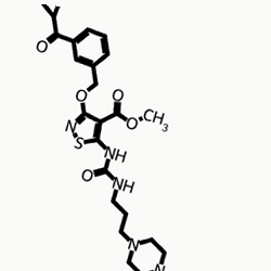 COC(=O)c1c(OCc2cccc(C(=O)C3CC3)c2)nsc1NC(=O)NCCCN1CCN(C)CC1